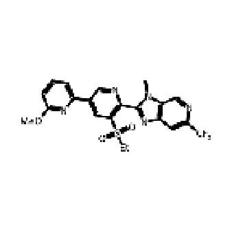 CCS(=O)(=O)c1cc(-c2cccc(OC)n2)cnc1-c1nc2cc(C(F)(F)F)ncc2n1C